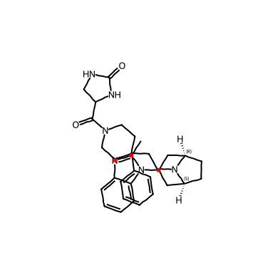 Cc1nc2ccccc2n1C1C[C@H]2CC[C@@H](C1)N2CCC1(c2ccccc2)CCN(C(=O)C2CNC(=O)N2)CC1